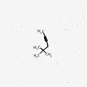 CC#CCC(C)(C)C